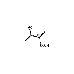 CC(=O)N(C)[C@H](C)C(=O)O